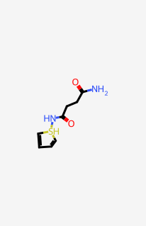 NC(=O)CCC(=O)N[SH]1C=CC=C1